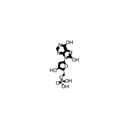 O=P(O)(O)OC[C@H]1O[C@@H](n2c(O)nc3c(O)ncnc32)C[C@@H]1O